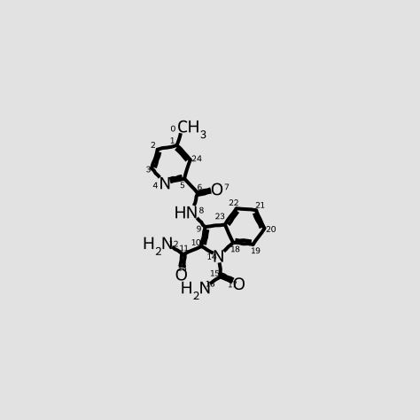 Cc1ccnc(C(=O)Nc2c(C(N)=O)n(C(N)=O)c3ccccc23)c1